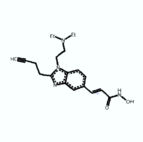 C#CCCc1nc2cc(/C=C/C(=O)NO)ccc2n1CCN(CC)CC